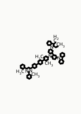 C=Cc1c(/C=C\C)n(-c2ccc3c(c2)c2cc(-n4c5ccccc5c5ccccc54)ccc2n3-c2cc(C)c(-c3ccc(-c4ccc(-c5cc(-c6ccccc6C)nc(-c6ccccc6C)n5)cc4)cc3)c(C)c2)c2ccccc12